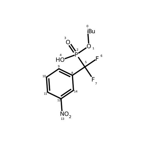 CCC(C)OP(=O)(O)C(F)(F)c1cccc([N+](=O)[O-])c1